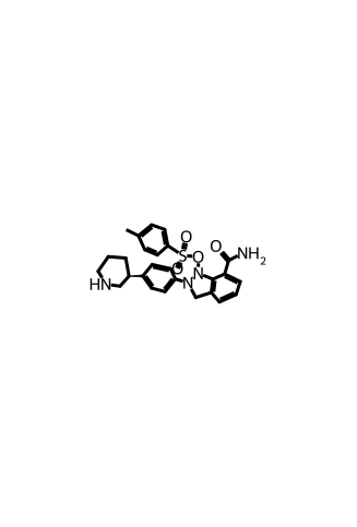 Cc1ccc(S(=O)(=O)ON2c3c(cccc3C(N)=O)CN2c2ccc([C@@H]3CCCNC3)cc2)cc1